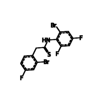 Fc1ccc(CC(=S)Nc2c(F)cc(F)cc2Br)c(Br)c1